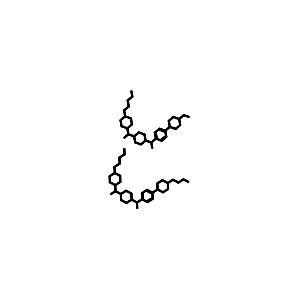 CCCCCC1CCC(C(C)C2CCC(C(C)c3ccc(C4CCC(CC)CC4)cc3)CC2)CC1.CCCCCC1CCC(C(C)C2CCC(C(C)c3ccc(C4CCC(CCCC)CC4)cc3)CC2)CC1